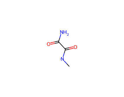 C[N]C(=O)C(N)=O